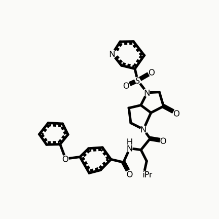 CC(C)CC(NC(=O)c1ccc(Oc2ccccc2)cc1)C(=O)N1CCC2C1C(=O)CN2S(=O)(=O)c1cccnc1